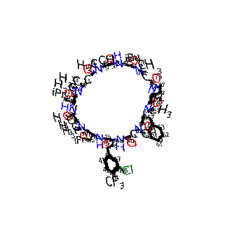 CC[C@H](C)[C@@H]1NC(=O)[C@H](C)N(C)C(=O)C[C@@H](C)N(C)C(=O)[C@H](CC(C)C)NC(=O)C(C)(C)N(C)C(=O)[C@H](CC(C)C)NC(=O)[C@H](CCc2ccc(C(F)(F)F)c(Cl)c2)NC(=O)CN(C)C(=O)[C@H](CC2CCCCC2)N(C)C(=O)[C@@H]2CCN2C(=O)CN(C)C1=O